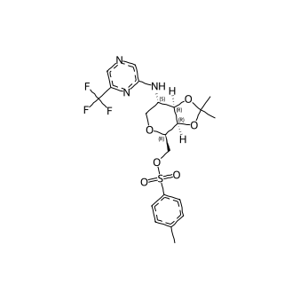 Cc1ccc(S(=O)(=O)OC[C@H]2OC[C@H](Nc3cncc(C(F)(F)F)n3)[C@H]3OC(C)(C)O[C@H]32)cc1